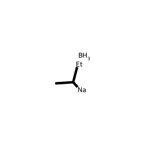 B.CC[CH](C)[Na]